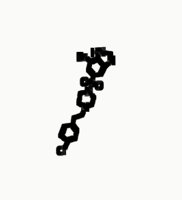 O=S(=O)(c1cc(Br)c2[nH]cnc2c1)N1CCN(CCc2ccc(Cl)cc2)CC1